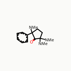 CNC1(NC)CCC(NC)(c2ccccc2)C1=O